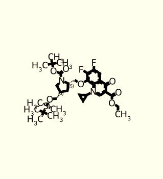 CCOC(=O)c1cn(C2CC2)c2c(OC[C@@H]3C[C@H](CO[Si](C)(C)C(C)(C)C)CN3C(=O)OC(C)(C)C)c(F)c(F)cc2c1=O